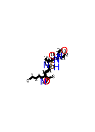 CCCCc1noc(C)c1/C=C/c1nc(C)c(C(=O)NN2CCOCC2)s1